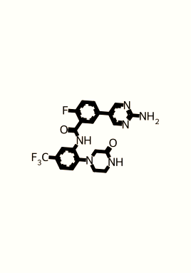 Nc1ncc(-c2ccc(F)c(C(=O)Nc3cc(C(F)(F)F)ccc3N3CCNC(=O)C3)c2)cn1